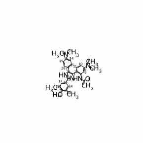 CC(=O)Nc1cc(N(C)C)ccc1-c1nc(-c2cc(C)c(O)c(C)c2)[nH]c1-c1ccc(N(C)C)cc1